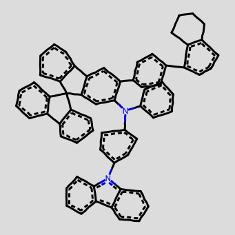 c1ccc(N(c2ccc(-n3c4ccccc4c4ccccc43)cc2)c2cc3c(cc2-c2ccc(-c4cccc5c4CCCC5)cc2)-c2ccccc2C32c3ccccc3-c3ccccc32)cc1